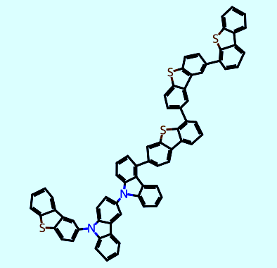 c1ccc2c(c1)sc1ccc(-n3c4ccccc4c4cc(-n5c6ccccc6c6c(-c7ccc8c(c7)sc7c(-c9ccc%10sc%11ccc(-c%12cccc%13c%12sc%12ccccc%12%13)cc%11c%10c9)cccc78)cccc65)ccc43)cc12